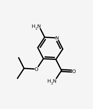 CC(C)Oc1cc(N)ncc1C(N)=O